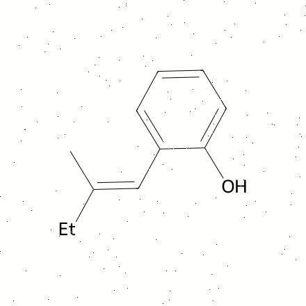 CCC(C)=Cc1ccccc1O